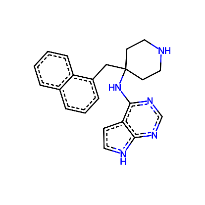 c1ccc2c(CC3(Nc4ncnc5[nH]ccc45)CCNCC3)cccc2c1